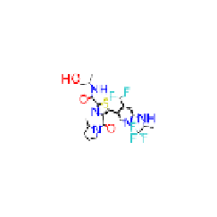 CC(CO)NC(=O)c1nc(C(=O)N2CCCC2C)c(-c2cnc(NC(C)C(F)(F)F)cc2C(F)F)s1